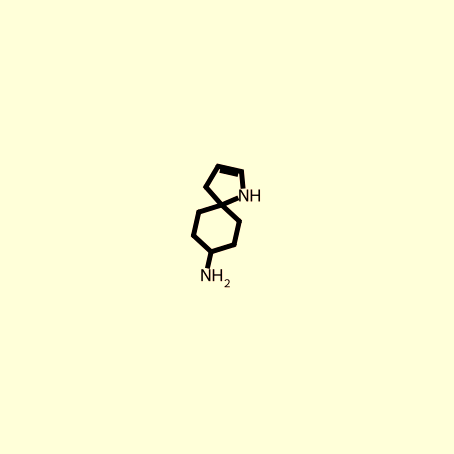 NC1CCC2(CC=CN2)CC1